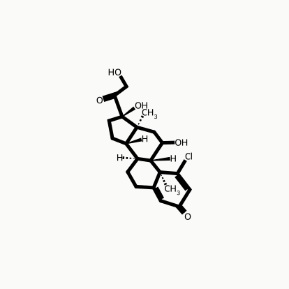 C[C@]12C(Cl)=CC(=O)C=C1CC[C@@H]1[C@@H]2C(O)C[C@@]2(C)[C@H]1CC[C@]2(O)C(=O)CO